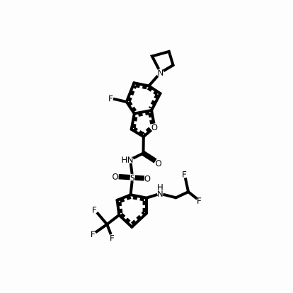 O=C(NS(=O)(=O)c1cc(C(F)(F)F)ccc1NCC(F)F)c1cc2c(F)cc(N3CCC3)cc2o1